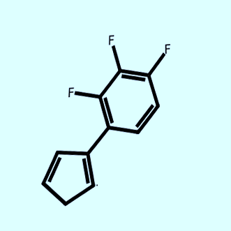 Fc1ccc(C2=[C]CC=C2)c(F)c1F